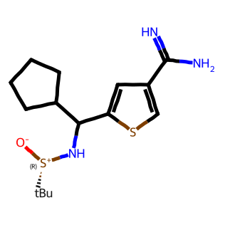 CC(C)(C)[S@+]([O-])NC(c1cc(C(=N)N)cs1)C1CCCC1